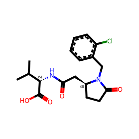 CC(C)[C@H](NC(=O)C[C@@H]1CCC(=O)N1Cc1ccccc1Cl)C(=O)O